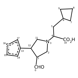 O=CC1CN(C(CC2CCC2)C(=O)O)CC1c1ccsc1